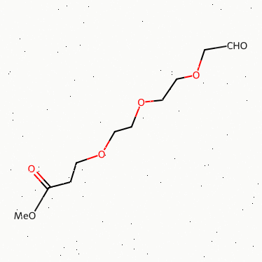 COC(=O)CCOCCOCCOCC=O